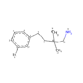 CCc1cccc(CCC(C)(C)CN)c1